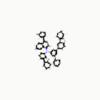 c1ccc(-c2cc(-c3ccc4sc5ccccc5c4c3)cc(N(c3ccc(-c4ccccc4)c4ccccc34)c3cccc4c3sc3ccccc34)c2)cc1